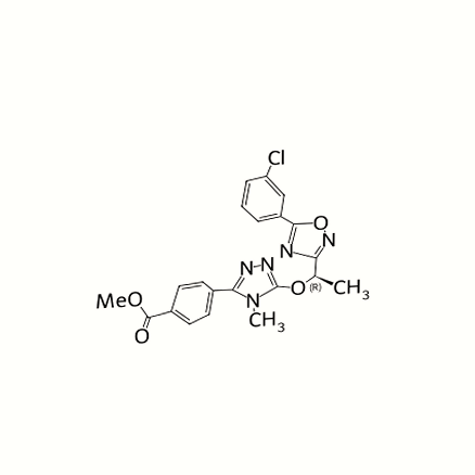 COC(=O)c1ccc(-c2nnc(O[C@H](C)c3noc(-c4cccc(Cl)c4)n3)n2C)cc1